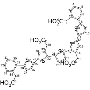 O=C(O)Cc1ccccc1-c1ccc(-c2cc(CC(=O)O)c(-c3ccc(-c4sc(-c5ccc(-c6ccccc6CC(=O)O)s5)cc4CC(=O)O)s3)s2)s1